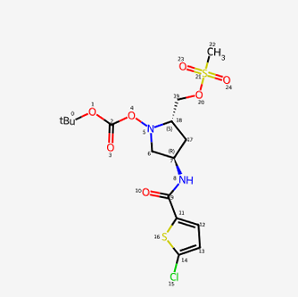 CC(C)(C)OC(=O)ON1C[C@H](NC(=O)c2ccc(Cl)s2)C[C@H]1COS(C)(=O)=O